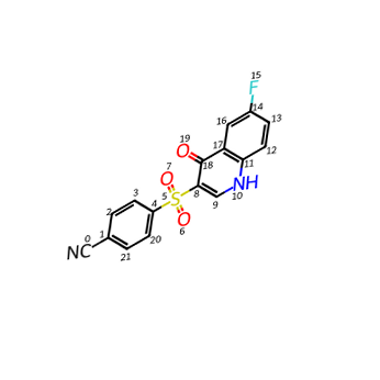 N#Cc1ccc(S(=O)(=O)c2c[nH]c3ccc(F)cc3c2=O)cc1